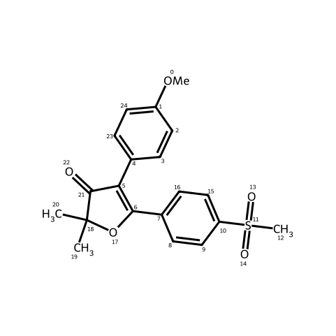 COc1ccc(C2=C(c3ccc(S(C)(=O)=O)cc3)OC(C)(C)C2=O)cc1